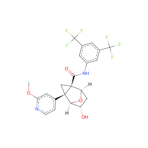 COc1cc([C@@]23C[C@]2(C(=O)Nc2cc(C(F)(F)F)cc(C(F)(F)F)c2)[C@H]2C[C@H](O)[C@@H]3O2)ccn1